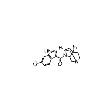 O=C(c1n[nH]c2cc(Cl)ccc12)N1C2C[N@]3CC[C@H]2C[C@H]1C3